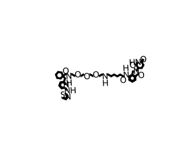 O=C1CCC(N2Cc3c(NC(=O)CCCCCNCCOCCOCCOCCNC(=O)C4(Cc5cccc(Nc6nccs6)n5)CCCCC4)cccc3C2=O)C(=O)N1